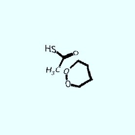 C1CCOOC1.CC(=O)S